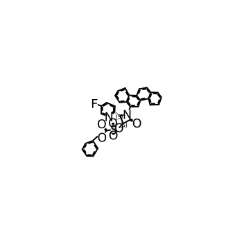 O=C1[C@@H](OS(=O)(=O)C(=O)OCc2ccccc2)[C@H](c2ccc(F)cn2)N1c1cc2c3ccccc3ccc2c2ccccc12